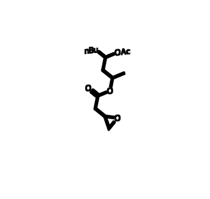 CCCCC(CC(C)OC(=O)CC1CO1)OC(C)=O